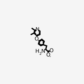 COC(=O)[C@@H](N)Cc1ccc(Oc2ccnc(C)c2C)cc1